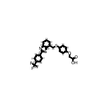 O=C(O)COc1ccc(SCc2cccc3nc(-c4ccc(C(F)(F)F)cc4)sc23)cc1